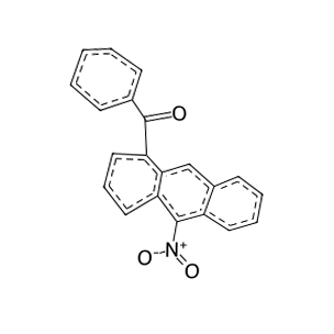 O=C(c1ccccc1)c1cccc2c([N+](=O)[O-])c3ccccc3cc12